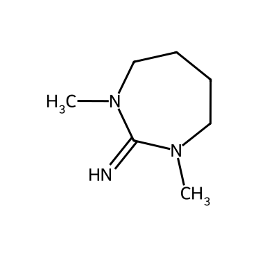 CN1CCCCN(C)C1=N